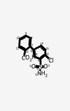 NS(=O)(=O)c1cc(-c2ccccc2C(=O)O)ccc1Cl